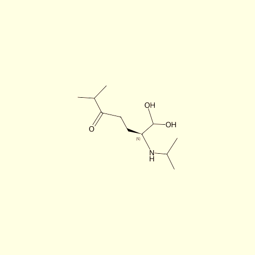 CC(C)N[C@@H](CCC(=O)C(C)C)C(O)O